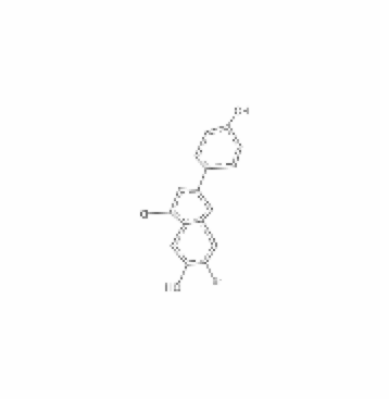 Oc1ccc(-c2cc(Cl)c3cc(O)c(Br)cc3c2)cc1